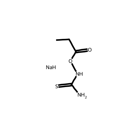 CCC(=O)ONC(N)=S.[NaH]